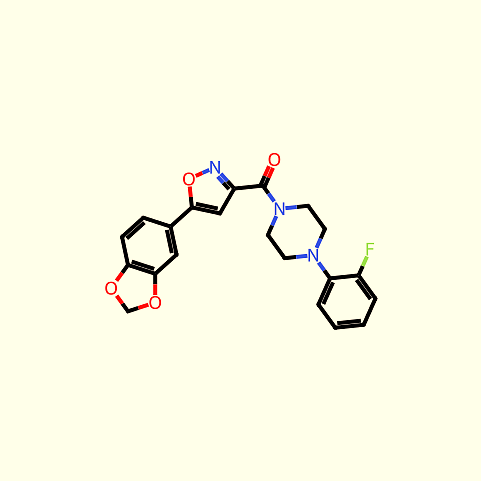 O=C(c1cc(-c2ccc3c(c2)OCO3)on1)N1CCN(c2ccccc2F)CC1